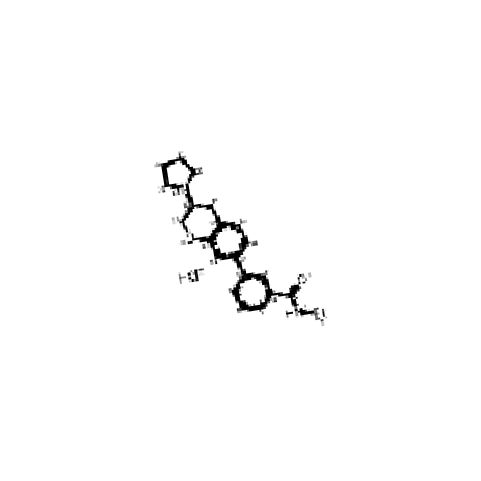 CCNC(=O)c1cccc(-c2ccc3c(c2)OCC(N2CCCC2)C3)c1.Cl